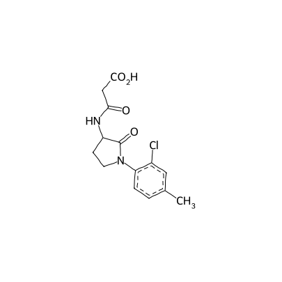 Cc1ccc(N2CCC(NC(=O)CC(=O)O)C2=O)c(Cl)c1